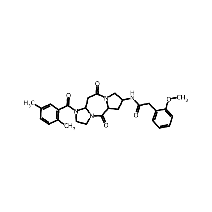 COc1ccccc1CC(=O)NC1CC2C(=O)N3CCN(C(=O)c4cc(C)ccc4C)C3CC(=O)N2C1